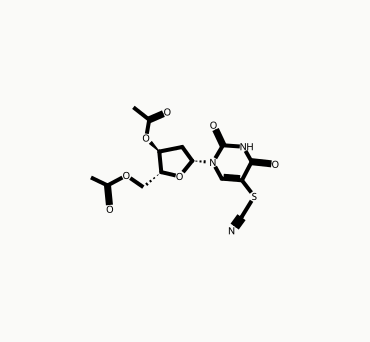 CC(=O)OC[C@H]1O[C@@H](n2cc(SC#N)c(=O)[nH]c2=O)C[C@@H]1OC(C)=O